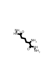 NNC(=O)CCCC(N)C(=O)NN